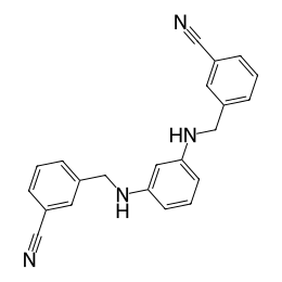 N#Cc1cccc(CNc2cccc(NCc3cccc(C#N)c3)c2)c1